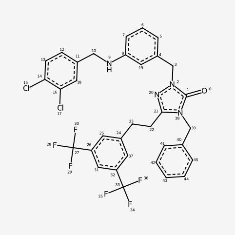 O=c1n(Cc2cccc(NCc3ccc(Cl)c(Cl)c3)c2)nc(CCc2cc(C(F)(F)F)cc(C(F)(F)F)c2)n1Cc1ccccc1